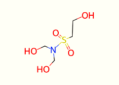 O=S(=O)(CCO)N(CO)CO